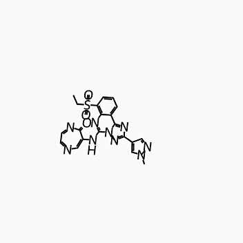 CCS(=O)(=O)c1cccc2c1nc(Nc1cnccnc1=O)n1nc(-c3cnn(C)c3)nc21